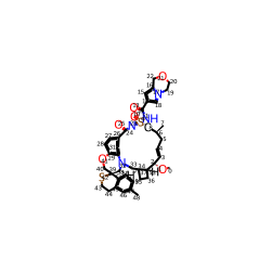 CO[C@H]1/C=C/C[C@H](C)C[S@@](=O)(NC(=O)c2cc3n(c2)CCOC3)=NC(=O)c2ccc3c(c2)N(C[C@@H]2CC[C@H]21)C[C@]1(CO3)SCCc2cc(C)ccc21